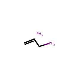 C=CCP.P